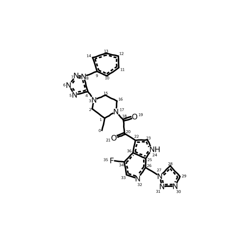 CC1CN(c2nnnn2-c2ccccc2)CCN1C(=O)C(=O)c1c[nH]c2c(-n3ccnn3)ncc(F)c12